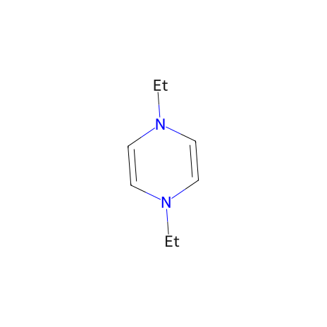 CCN1C=CN(CC)C=C1